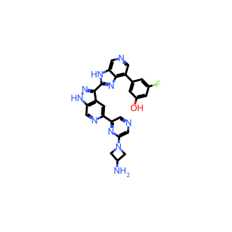 NC1CN(c2cncc(-c3cc4c(-c5nc6c(-c7cc(O)cc(F)c7)cncc6[nH]5)n[nH]c4cn3)n2)C1